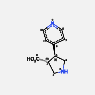 O=C(O)[C@H]1CNC[C@@H]1c1ccncc1